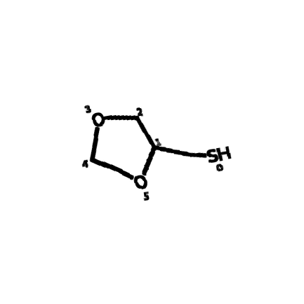 SC1COCO1